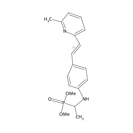 COP(=O)(OC)C(C)Nc1ccc(/C=C/c2cccc(C)n2)cc1